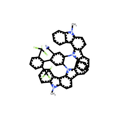 Cn1c2ccccc2c2c1ccc1c3ccccc3n(-c3cc(C#N)c(-c4c(C(F)(F)F)cccc4C(F)(F)F)cc3-n3c4ccccc4c4ccc5c(c6ccccc6n5C)c43)c12